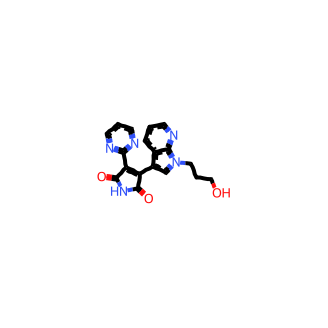 O=C1NC(=O)C(c2cn(CCCO)c3ncccc23)=C1c1ncccn1